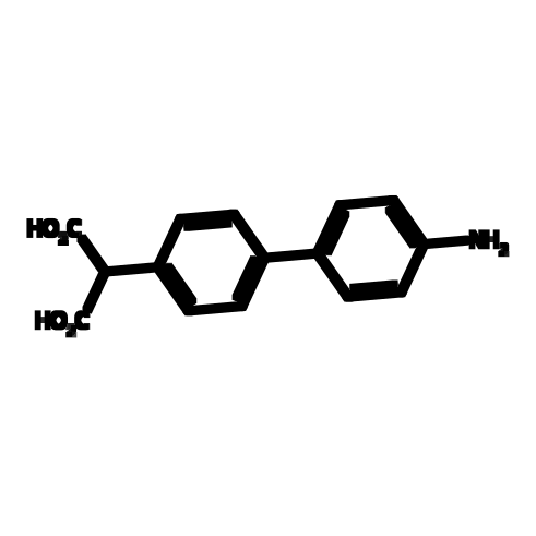 Nc1ccc(-c2ccc(C(C(=O)O)C(=O)O)cc2)cc1